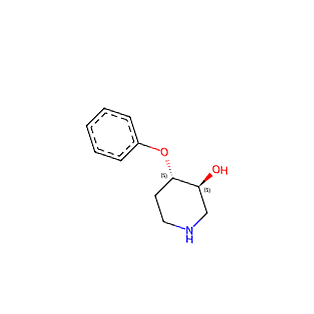 O[C@H]1CNCC[C@@H]1Oc1ccccc1